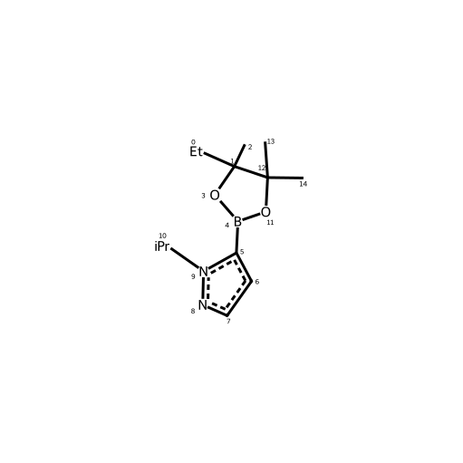 CCC1(C)OB(c2ccnn2C(C)C)OC1(C)C